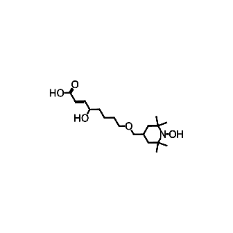 CC1(C)CC(COCCCCC(O)/C=C/C(=O)O)CC(C)(C)N1O